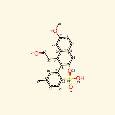 COc1ccc2ccc(-c3cc(C)ccc3S(=O)(=O)O)c(CC=O)c2c1